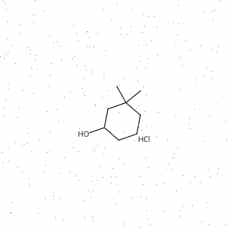 CC1(C)CCCC(O)C1.Cl